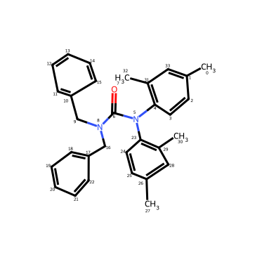 Cc1ccc(N(C(=O)N(Cc2ccccc2)Cc2ccccc2)c2ccc(C)cc2C)c(C)c1